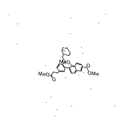 COC(=O)CCc1ccc(OCC2CCCCC2)c(-c2ccc3cc(C(=O)OC)ccc3c2OC)c1